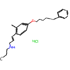 Cc1cc(OCCCCCc2ccccc2)ccc1/C=C/CNCCC(=O)O.Cl